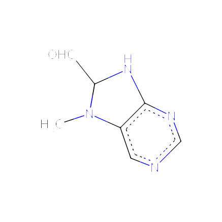 CN1c2cncnc2NC1C=O